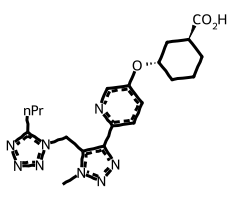 CCCc1nnnn1Cc1c(-c2ccc(O[C@H]3CCC[C@H](C(=O)O)C3)cn2)nnn1C